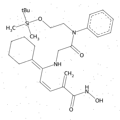 C=C(/C=C\C(NCC(=O)N(CCO[Si](C)(C)C(C)(C)C)c1ccccc1)=C1CCCCC1)C(=O)NO